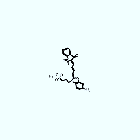 Nc1ccc2c(c1)SC(=CC=CC=C1C(=O)c3ccccc3S1(=O)=O)N2CCCS(=O)(=O)[O-].[Na+]